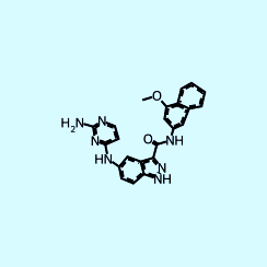 COc1cc(NC(=O)c2n[nH]c3ccc(Nc4ccnc(N)n4)cc23)cc2ccccc12